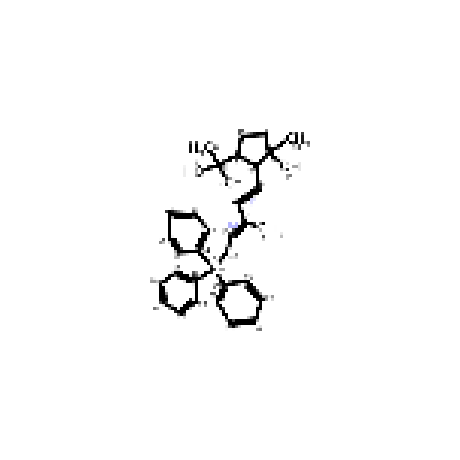 CC(/C=C/C1C(C(C)(C)O)CCC1(C)O)=C\C[PH](c1ccccc1)(c1ccccc1)c1ccccc1